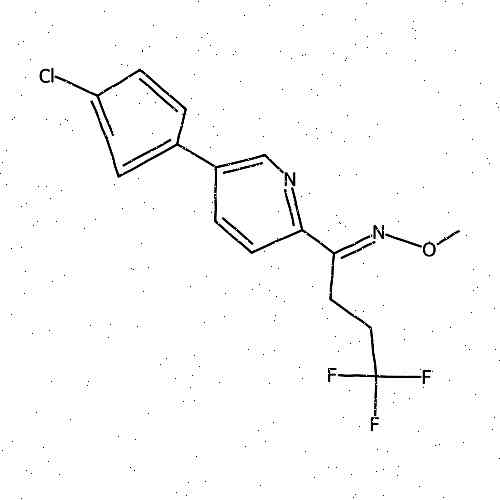 CON=C(CCC(F)(F)F)c1ccc(-c2ccc(Cl)cc2)cn1